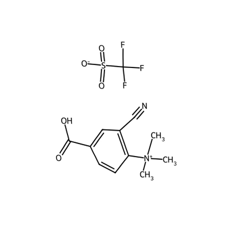 C[N+](C)(C)c1ccc(C(=O)O)cc1C#N.O=S(=O)([O-])C(F)(F)F